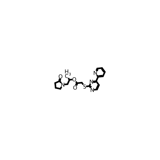 CC(CN1CCCC1=O)OC(=O)CSc1nccc(-c2ccccn2)n1